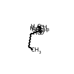 CCC/C=C\CCCCCCC/C=C\CCCCCC(O)(C[N+](C)(C)C)P(=O)(O)O